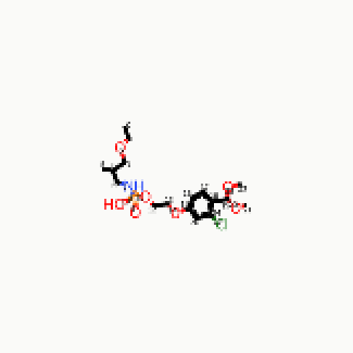 CCOCC(C)CNP(=O)(O)OCCOc1ccc(C(OC)OC)c(Cl)c1